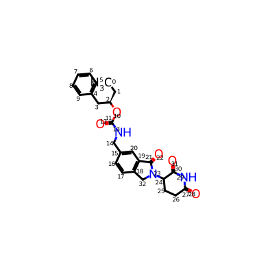 CC[C@H](Cc1ccccc1)OC(=O)NCc1ccc2c(c1)C(=O)N(C1CCC(=O)NC1=O)C2